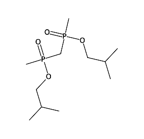 CC(C)COP(C)(=O)CP(C)(=O)OCC(C)C